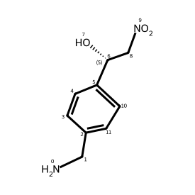 NCc1ccc([C@H](O)C[N+](=O)[O-])cc1